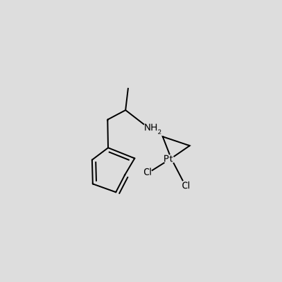 CC(N)Cc1ccccc1.[Cl][Pt]1([Cl])[CH2][CH2]1